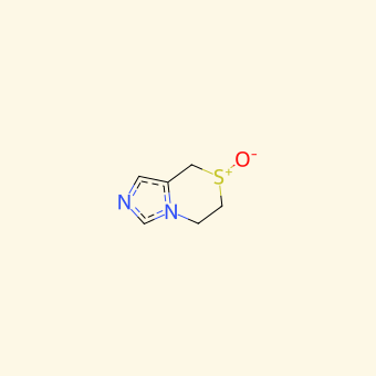 [O-][S+]1CCn2cncc2C1